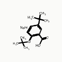 CC(C)(C)Oc1ccc(C(C)(C)C)cc1C(=O)O.[NaH]